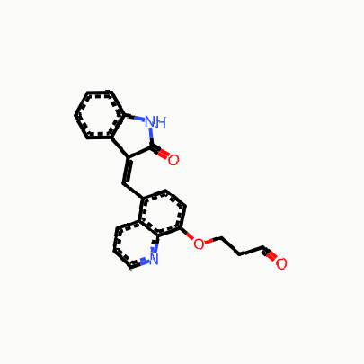 O=CCCOc1ccc(C=C2C(=O)Nc3ccccc32)c2cccnc12